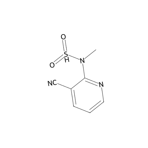 CN(c1ncccc1C#N)[SH](=O)=O